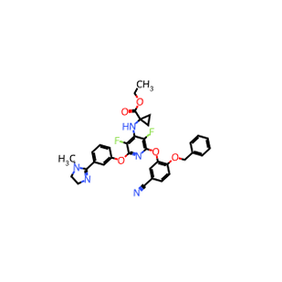 CCOC(=O)C1(Nc2c(F)c(Oc3cccc(C4=NCCN4C)c3)nc(Oc3cc(C#N)ccc3OCc3ccccc3)c2F)CC1